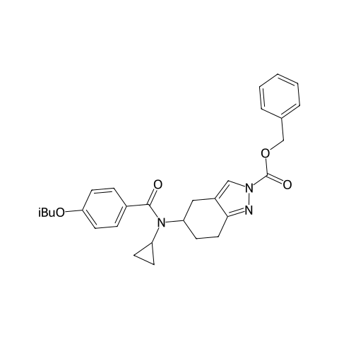 CC(C)COc1ccc(C(=O)N(C2CC2)C2CCc3nn(C(=O)OCc4ccccc4)cc3C2)cc1